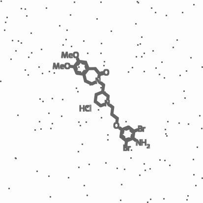 COc1cc2c(cc1OC)CC(=O)N(CC1CCCN(CCCOc3cc(Br)c(N)c(Br)c3)C1)CC2.Cl